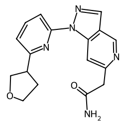 NC(=O)Cc1cc2c(cn1)cnn2-c1cccc(C2CCOC2)n1